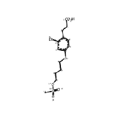 CCOC(=O)CCc1ccc(SCCCCOS(C)(=O)=O)cc1CC